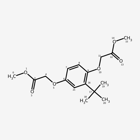 COC(=O)COc1ccc(OCC(=O)OC)c(C(C)(C)C)c1